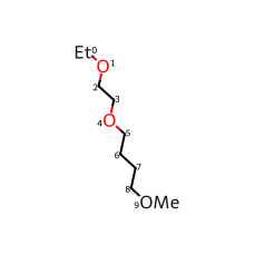 [CH2]COCCOCCCCOC